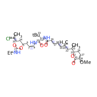 CCNC(=O)OC(C/C=C\NC(=O)C(NC(=O)/C=C/C=C/C(C)=C/C(C)C1CC=C(OC)C(=O)O1)C(C)(C)C)C/C=C(\C)Cl